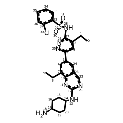 CCc1cc(-c2cc(CC)c3nc(N[C@H]4CC[C@H](N)CC4)ncc3c2)nnc1NS(=O)(=O)c1ccccc1Cl